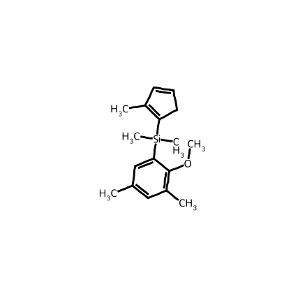 COc1c(C)cc(C)cc1[Si](C)(C)C1=C(C)C=CC1